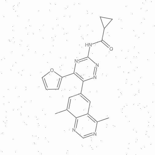 Cc1ncnc2c(C)cc(-c3nnc(NC(=O)C4CC4)nc3-c3ccco3)cc12